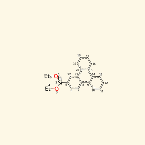 CCO[SiH](OCC)c1ccc2c3ccccc3c3ccccc3c2c1